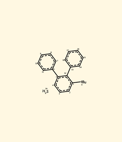 CC(C)(C)c1cccc(-c2ccccc2)c1-c1ccccc1.S